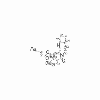 CC[C@@]1(OC(=O)CCCC(C)=O)C(=O)OCc2c1cc1n(c2=O)Cc2cc3ccccc3nc2-1